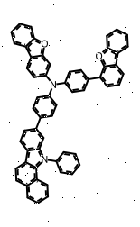 c1ccc(-n2c3cc(-c4ccc(N(c5ccc(-c6cccc7c6oc6ccccc67)cc5)c5ccc6c(c5)oc5ccccc56)cc4)ccc3c3ccc4ccccc4c32)cc1